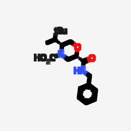 CC([C@@H]1CO[C@H](C(=O)NCc2ccccc2)CN1C(=O)O)C(C)(C)C